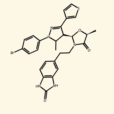 CC1C([C@H]2O[C@@H](C)C(=O)N2CCc2ccc3[nH]c(=O)[nH]c3c2)C(c2ccsc2)=NN1c1ccc(Br)cc1